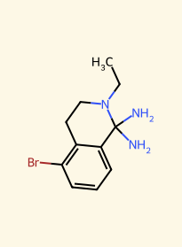 CCN1CCc2c(Br)cccc2C1(N)N